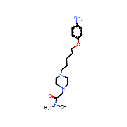 CN(C)C(=O)CN1CCN(CCCCCOc2ccc(N)cc2)CC1